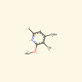 CCCCOc1nc(C)cc(OC)c1C#N